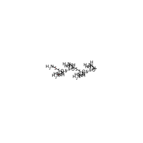 C=CCN(CCNC(=N)N)C(=O)CCSCCCSCCCN(CCNC(=N)N)C(=O)CCSCCCSCCCN(CCNC(=N)N)C(=O)CCSCCCSCCCN(CCNC(=N)N)C(=O)CCSCCCSCCCN